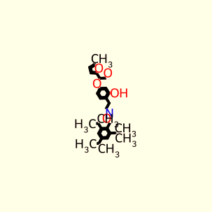 Cc1ccc(C(C=O)Oc2ccc(CC=NOCc3c(C(C)C)cc(C(C)C)cc3C(C)C)c(O)c2)o1